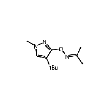 CC(C)=NOc1nn(C)cc1C(C)(C)C